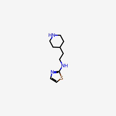 c1csc(NCCC2CCNCC2)n1